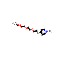 CCOCCOCCOCCOC1CCN(C)CC1